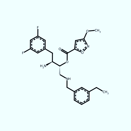 CCc1cccc(CNC[C@@H](OC(=O)c2cc(OC)no2)[C@@H](N)Cc2cc(F)cc(F)c2)c1